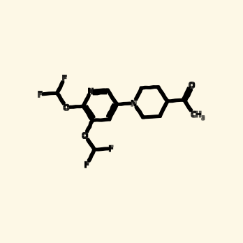 CC(=O)C1CCN(c2cnc(OC(F)F)c(OC(F)F)c2)CC1